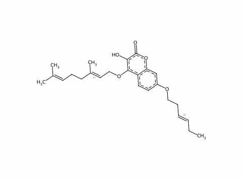 CC/C=C/CCOc1ccc2c(OC/C=C(\C)CCC=C(C)C)c(O)c(=O)oc2c1